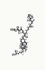 CC[C@H](CC[C@@H](C)[C@H]1CC[C@H]2[C@@H]3CC=C4C[C@@H](OC(=O)N(CCCCNCCC(C)NC(=O)OC(C)(C)C)CCC(C)NC(=O)OC(C)(C)C)CC[C@]4(C)[C@H]3CC[C@]12C)C(C)C